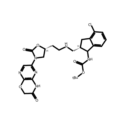 CC(C)(C)OC(=O)NC1c2cccc(Cl)c2C[C@H]1CNCC[C@@H]1CN(c2cnc3c(n2)NC(=O)CO3)C(=O)O1